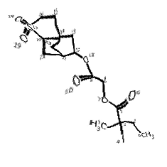 CCC(C)(I)C(=O)OCC(=O)OC1CC23CCS(=O)(=O)C2CC1C3